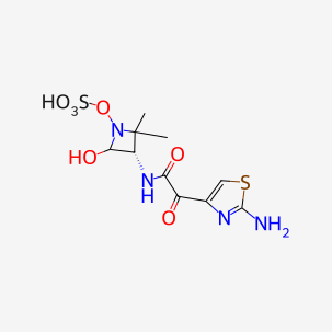 CC1(C)[C@H](NC(=O)C(=O)c2csc(N)n2)C(O)N1OS(=O)(=O)O